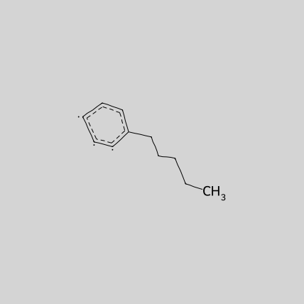 CCCCCc1[c][c][c]cc1